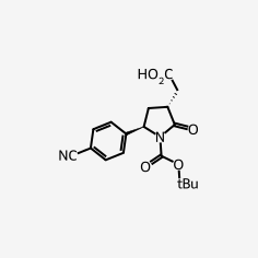 CC(C)(C)OC(=O)N1C(=O)[C@@H](CC(=O)O)C[C@@H]1c1ccc(C#N)cc1